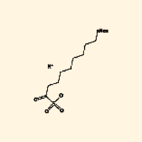 CCCCCCCCCCCCCCCCCC(=O)S(=O)(=O)[O-].[K+]